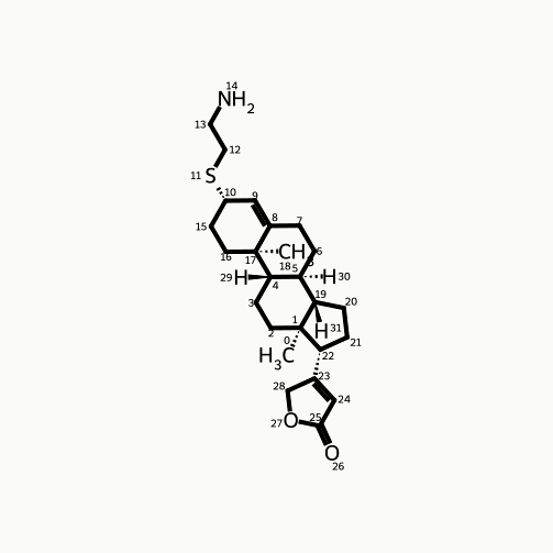 C[C@]12CC[C@H]3[C@@H](CCC4=C[C@@H](SCCN)CC[C@@]43C)[C@@H]1CC[C@@H]2C1=CC(=O)OC1